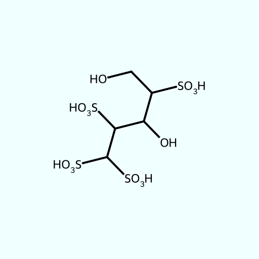 O=S(=O)(O)C(CO)C(O)C(C(S(=O)(=O)O)S(=O)(=O)O)S(=O)(=O)O